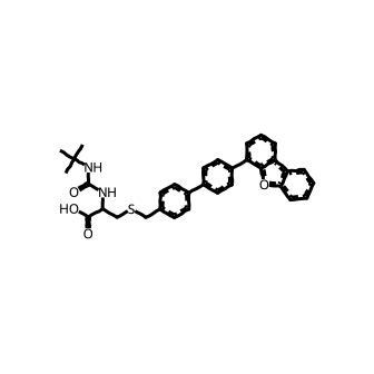 CC(C)(C)NC(=O)NC(CSCc1ccc(-c2ccc(-c3cccc4c3oc3ccccc34)cc2)cc1)C(=O)O